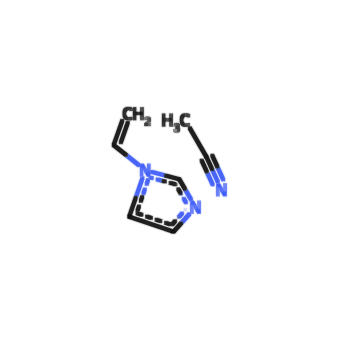 C=Cn1ccnc1.CC#N